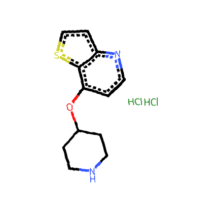 Cl.Cl.c1cc(OC2CCNCC2)c2sccc2n1